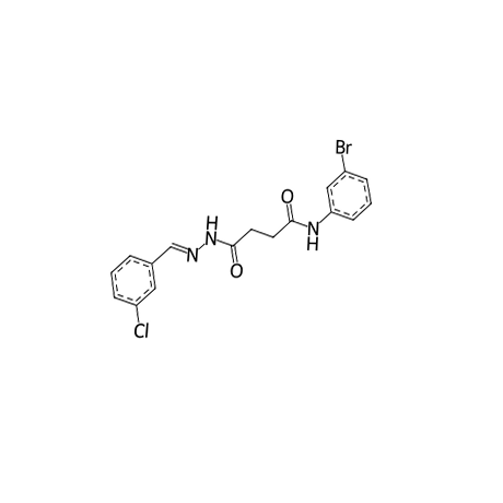 O=C(CCC(=O)Nc1cccc(Br)c1)N/N=C/c1cccc(Cl)c1